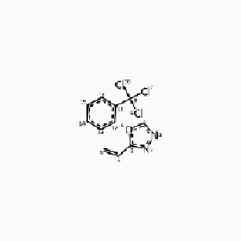 C=Cc1nnco1.ClC(Cl)(Cl)c1ccccc1